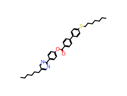 CCCCCCCSc1ccc(-c2ccc(C(=O)Oc3ccc(-c4ncc(CCCCCC)cn4)cc3)cc2)cc1